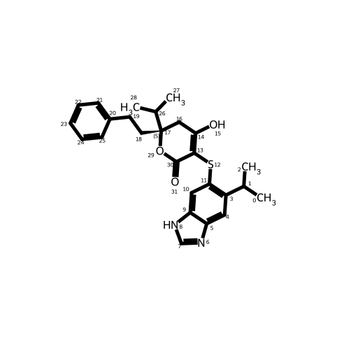 CC(C)c1cc2nc[nH]c2cc1SC1=C(O)C[C@@](CCc2ccccc2)(C(C)C)OC1=O